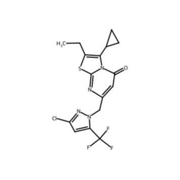 CCc1sc2nc(Cn3nc(Cl)cc3C(F)(F)F)cc(=O)n2c1C1CC1